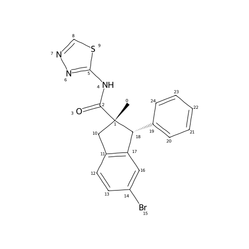 C[C@]1(C(=O)Nc2nncs2)Cc2ccc(Br)cc2[C@H]1c1ccccc1